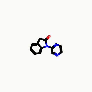 O=C1Cc2ccccc2N1c1cnccn1